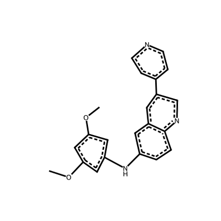 COc1cc(Nc2ccc3ncc(-c4ccncc4)cc3c2)cc(OC)c1